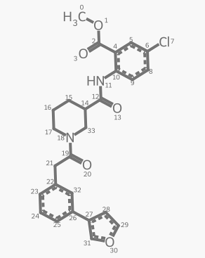 COC(=O)c1cc(Cl)ccc1NC(=O)C1CCCN(C(=O)Cc2cccc(-c3ccoc3)c2)C1